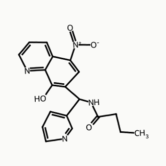 CCCC(=O)NC(c1cccnc1)c1cc([N+](=O)[O-])c2cccnc2c1O